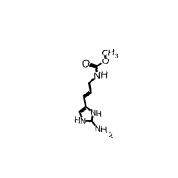 COC(=O)NCC=CC1=CNC(N)N1